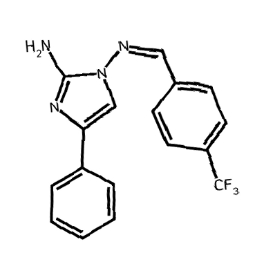 Nc1nc(-c2ccccc2)cn1/N=C\c1ccc(C(F)(F)F)cc1